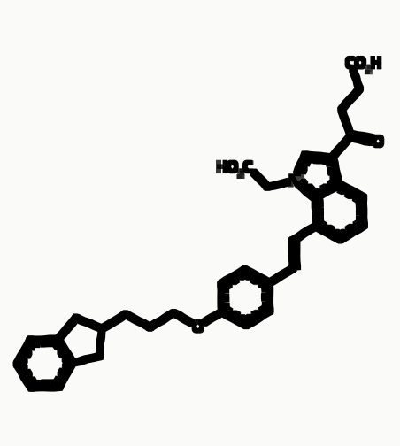 O=C(O)CCC(=O)c1cn(CC(=O)O)c2c(/C=C/c3ccc(OCCCC4Cc5ccccc5C4)cc3)cccc12